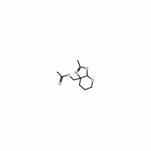 CC(=O)OCC12[CH][CH]COC1OC(C)=N2